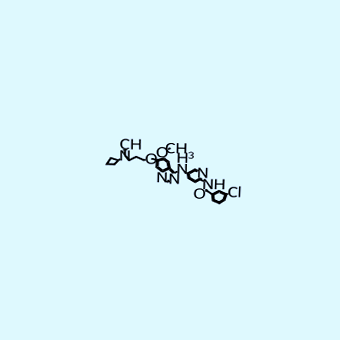 C#CN(CCCOc1cc2ncnc(Nc3ccc(NC(=O)c4cccc(Cl)c4)nc3)c2cc1OC)C1CCC1